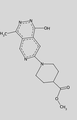 COC(=O)C1CCN(c2cc3c(O)nnc(C)c3cn2)CC1